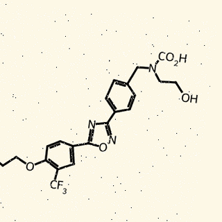 O=C(O)N(CCO)Cc1ccc(-c2noc(-c3ccc(OCCF)c(C(F)(F)F)c3)n2)cc1